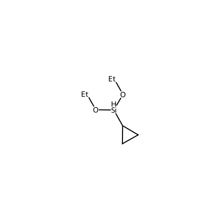 CCO[SiH](OCC)C1CC1